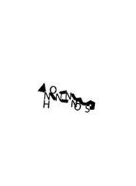 O=C(CN1CCN(Cc2cc(-c3cccs3)on2)CC1)NC1CC1